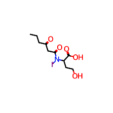 CCCC(=O)CC(=O)N(I)C(CCO)C(=O)O